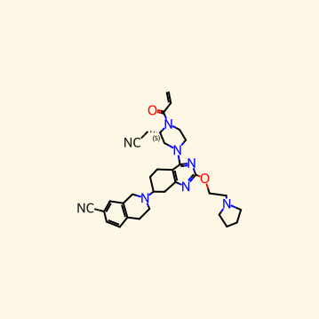 C=CC(=O)N1CCN(c2nc(OCCN3CCCC3)nc3c2CCC(N2CCc4ccc(C#N)cc4C2)C3)C[C@@H]1CC#N